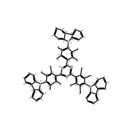 Cc1c(C)c(-n2c3ccccc3c3ccccc32)c(C)c(C)c1-c1nc(-c2c(C)c(C)c(-n3c4ccccc4c4ccccc43)c(C)c2C)nc(-c2c(C)c(C)c(-n3c4ccccc4c4ccccc43)c(C)c2C)n1